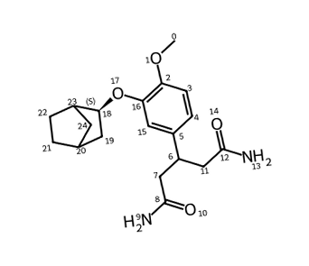 COc1ccc(C(CC(N)=O)CC(N)=O)cc1O[C@H]1CC2CCC1C2